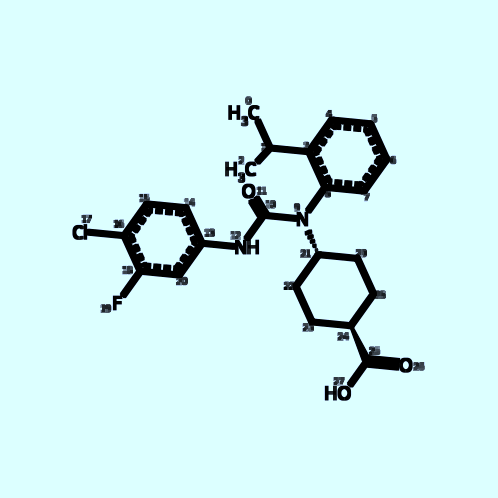 CC(C)c1ccccc1N(C(=O)Nc1ccc(Cl)c(F)c1)[C@H]1CC[C@H](C(=O)O)CC1